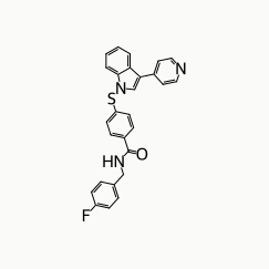 O=C(NCc1ccc(F)cc1)c1ccc(Sn2cc(-c3ccncc3)c3ccccc32)cc1